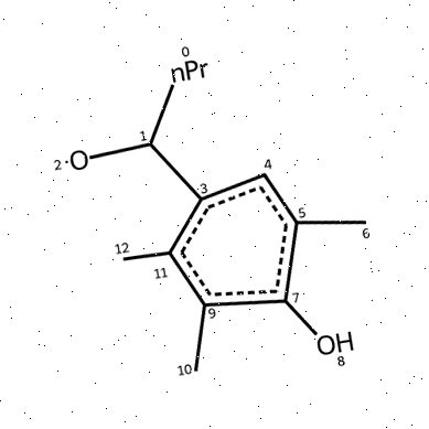 CCCC([O])c1cc(C)c(O)c(C)c1C